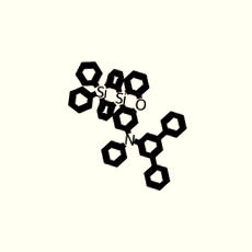 c1ccc(-c2cc(-c3ccccc3)cc(N(c3ccccc3)c3ccc4c(c3)Oc3ccccc3[Si]43c4ccccc4[Si](c4ccccc4)(c4ccccc4)c4ccccc43)c2)cc1